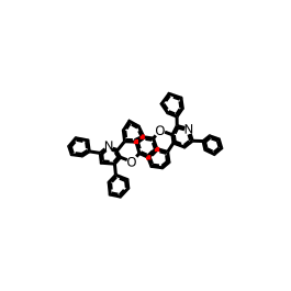 c1ccc(-c2cc(-c3ccccc3)c(Oc3ccc(Oc4c(-c5ccccc5)cc(-c5ccccc5)nc4-c4ccccc4)cc3)c(-c3ccccc3)n2)cc1